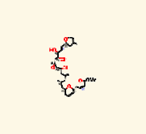 C=C(C[C@H](C)C[C@@H]1CC=C[C@@H](C/C=C\C(=O)OC)O1)C[C@H](O)[C@H]1O[C@@H]1C[C@H](O)[C@@H](O)/C=C/[C@@H]1CC(C)=CCO1